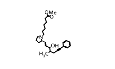 COC(=O)CCCCCCN1CCC[C@@H]1/C=C/[C@@H](O)C(C)CC#Cc1ccccc1